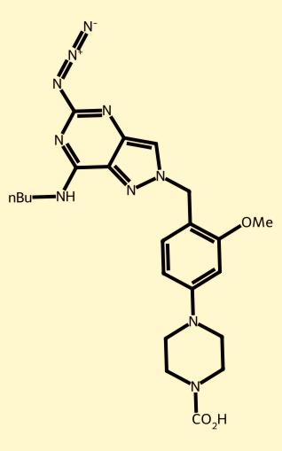 CCCCNc1nc(N=[N+]=[N-])nc2cn(Cc3ccc(N4CCN(C(=O)O)CC4)cc3OC)nc12